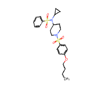 CCCCOc1ccc(S(=O)(=O)N2CCC(N(C3CC3)S(=O)(=O)c3ccccc3)CC2)cc1